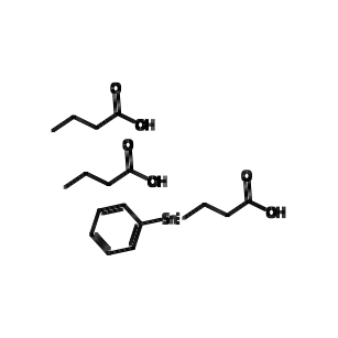 CCCC(=O)O.CCCC(=O)O.CCCC(=O)O.[Sn][c]1ccccc1